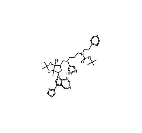 CC(C)(C)OC(=O)N(CCCN(C[C@H]1C[C@@H](n2cc(-c3cccs3)c3cncnc32)[C@@H]2OC(C)(C)O[C@H]12)c1cn[nH]c1)CCc1ccccc1